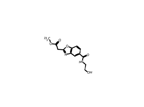 COC(=O)Cc1nc2cc(C(=O)NCCO)ccc2o1